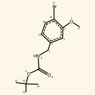 COc1cc(CNC(=O)OC(C)(C)C)ccc1Br